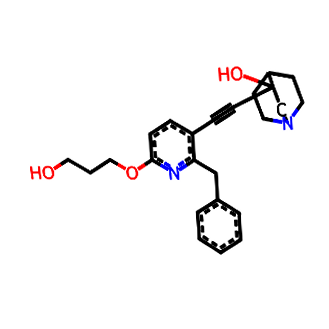 OCCCOc1ccc(C#CC2(O)CN3CCC2CC3)c(Cc2ccccc2)n1